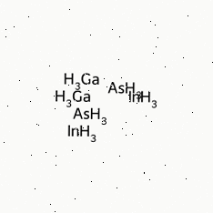 [AsH3].[AsH3].[GaH3].[GaH3].[InH3].[InH3]